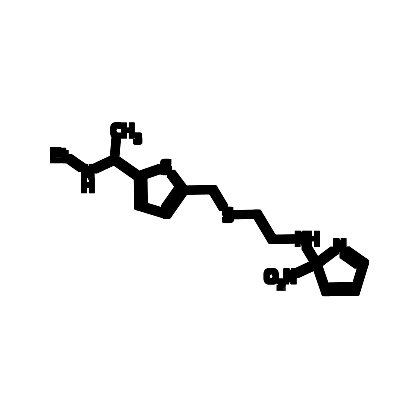 CCNC(C)c1ccc(CSCCNC2([N+](=O)[O-])C=CC=N2)s1